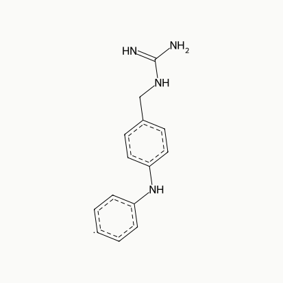 N=C(N)NCc1ccc(Nc2cc[c]cc2)cc1